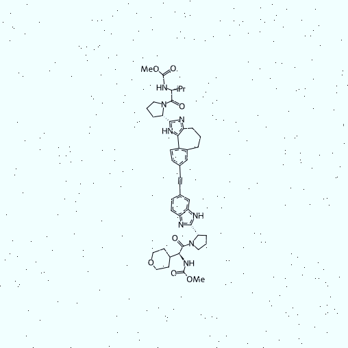 COC(=O)N[C@H](C(=O)N1CCC[C@H]1c1nc2c([nH]1)-c1ccc(C#Cc3ccc4nc([C@@H]5CCCN5C(=O)[C@@H](NC(=O)OC)C5CCOCC5)[nH]c4c3)cc1CCC2)C(C)C